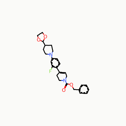 O=C(OCc1ccccc1)N1CC=C(c2ccc(N3CCC(C4OCCO4)CC3)cc2F)CC1